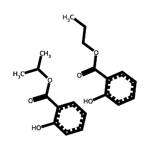 CC(C)OC(=O)c1ccccc1O.CCCOC(=O)c1ccccc1O